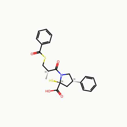 C[C@H](CSC(=O)c1ccccc1)C(=O)N1C[C@H](c2ccccc2)C[C@]1(S)C(=O)O